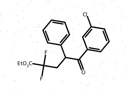 CCOC(=O)C(F)(F)CC(C(=O)c1cccc(Cl)c1)c1ccccc1